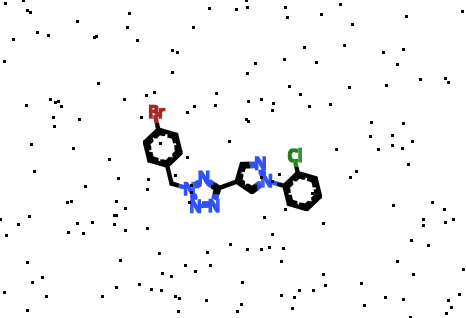 Clc1ccccc1-n1cc(-c2nnn(Cc3ccc(Br)cc3)n2)cn1